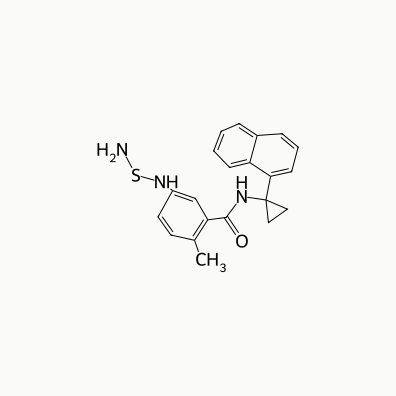 Cc1ccc(NSN)cc1C(=O)NC1(c2cccc3ccccc23)CC1